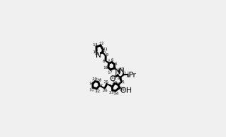 CC(C)C1=NN(c2ccc(C=Cc3ccccn3)cc2)C(=O)C1=Cc1cc(C=Cc2ccccc2)ccc1O